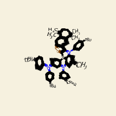 Cc1cc2c3c(c1)N(c1ccc(C(C)(C)C)cc1)c1c(sc4cc5c(cc14)C(C)(C)CCC5(C)C)B3c1ccc(N(c3ccc(C(C)(C)C)cc3)c3ccc(C(C)(C)C)cc3)cc1N2c1ccc(C(C)(C)C)cc1